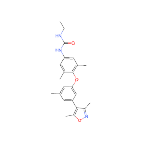 CCNC(=O)Nc1cc(C)c(Oc2cc(C)cc(-c3c(C)noc3C)c2)c(C)c1